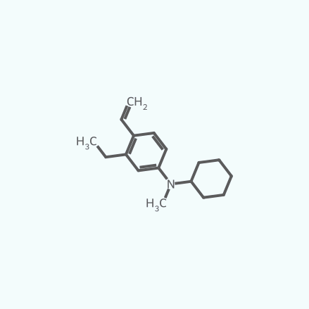 C=Cc1ccc(N(C)C2CCCCC2)cc1CC